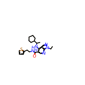 CCn1ncc2c(NC(C)C3CCCCC3)c(C(=O)NCCc3cccs3)cnc21